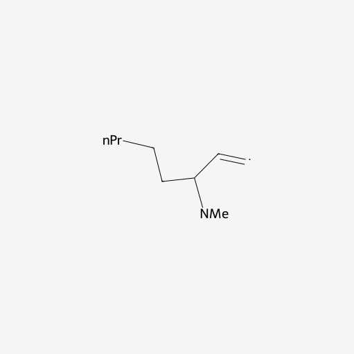 [CH]=CC(CCCCC)NC